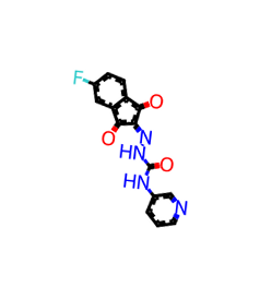 O=C(NN=c1c(=O)c2ccc(F)cc2c1=O)Nc1cccnc1